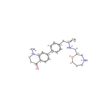 CN1CCC(=O)c2ccc(-c3ccc(C[C@@H](C#N)NCC4CNCCCO4)cc3)cc21